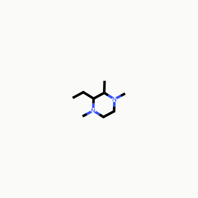 CCC1C(C)N(C)CCN1C